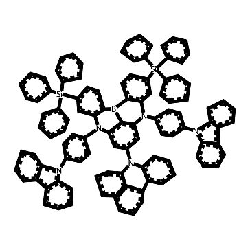 c1ccc(-c2ccccc2N(c2ccccc2)c2cc3c4c(c2)N(c2ccc(-n5c6ccccc6c6ccccc65)cc2)c2cc([Si](c5ccccc5)(c5ccccc5)c5ccccc5)ccc2B4c2ccc([Si](c4ccccc4)(c4ccccc4)c4ccccc4)cc2N3c2ccc(-n3c4ccccc4c4ccccc43)cc2)cc1